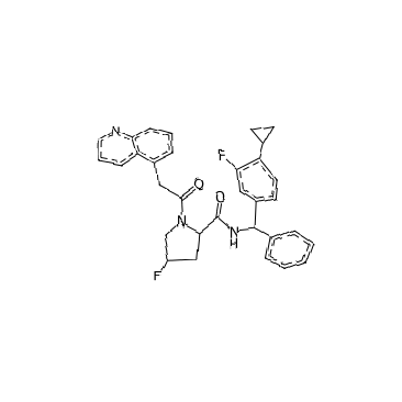 O=C(NC(c1ccccc1)c1ccc(C2CC2)c(F)c1)C1CC(F)CN1C(=O)Cc1cccc2ncccc12